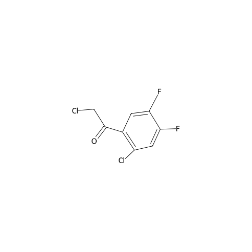 O=C(CCl)c1cc(F)c(F)cc1Cl